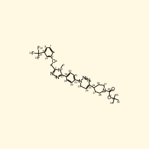 Cn1c(COc2cccc(C(F)(F)F)c2)nnc1-c1ccc(N2CC=C(C3CCN(C(=O)OC(C)(C)C)CC3)N=N2)cc1